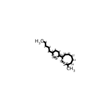 CCCCCC1CCC(C2CCCCCC(C)SS2)SS1